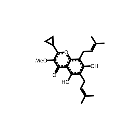 COc1c(C2CC2)oc2c(CC=C(C)C)c(O)c(CC=C(C)C)c(O)c2c1=O